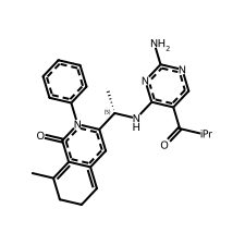 CC1=c2c(cc([C@H](C)Nc3nc(N)ncc3C(=O)C(C)C)n(-c3ccccc3)c2=O)=CCC1